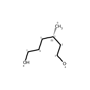 C[C@H](CC[O])CCCO